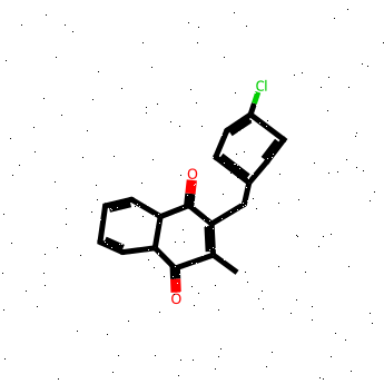 CC1=C(Cc2ccc(Cl)cc2)C(=O)C2C=CC=CC2C1=O